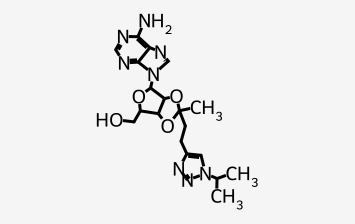 CC(C)n1cc(CCC2(C)OC3C(CO)OC(n4cnc5c(N)ncnc54)C3O2)nn1